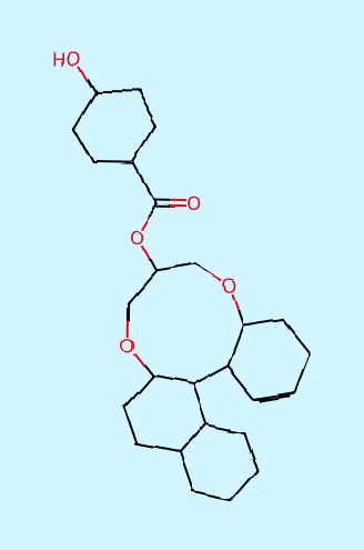 O=C(OC1COC2CCC3CCCCC3C2C2C(CCC3CCCCC32)OC1)C1CCC(O)CC1